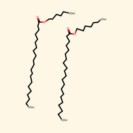 CCCCCCCCCCCCCCCCCCCCCCCCCCCCCC(=O)OCCCCCCCCCCCCCCC.CCCCCCCCCCCCCCCCCCCCCCCCCCCCCC(=O)OCCCCCCCCCCCCCCCC